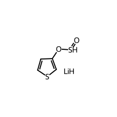 O=[SH]Oc1ccsc1.[LiH]